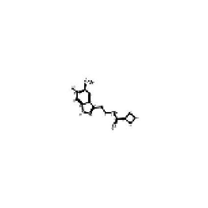 COc1cc2c(CCNC(=O)C3CCC3)csc2cc1Cl